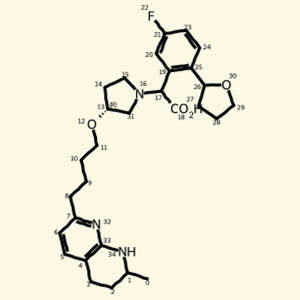 CC1CCc2ccc(CCCCO[C@@H]3CCN(C(C(=O)O)c4cc(F)ccc4C4CCCO4)C3)nc2N1